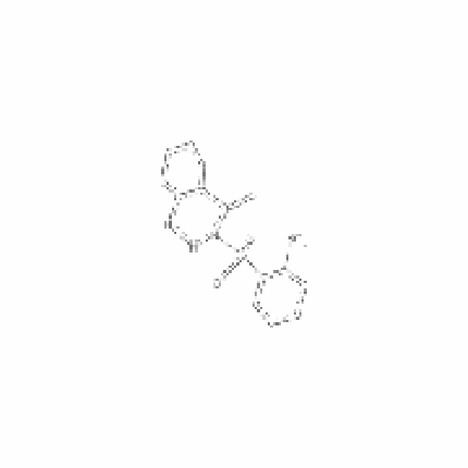 O=c1c2ccccc2nnn1S(=O)(=O)c1ccccc1[N+](=O)[O-]